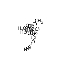 Cc1ccc([C@]23C[C@@]4(O)C(=O)N(C)[C@H](O)C(=O)N4[C@H]2N(S(=O)(=O)c2ccc(OCCCN=[N+]=[N-])cc2)c2ccccc23)cc1